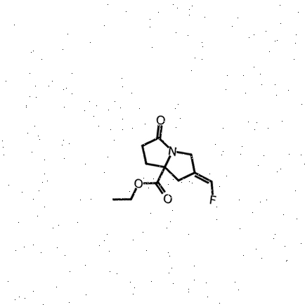 CCOC(=O)C12CCC(=O)N1CC(=CF)C2